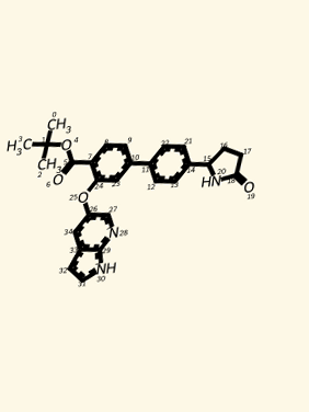 CC(C)(C)OC(=O)c1ccc(-c2ccc(C3CCC(=O)N3)cc2)cc1Oc1cnc2[nH]ccc2c1